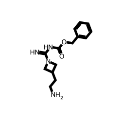 N=C(NC(=O)OCc1ccccc1)N1CC(CCN)C1